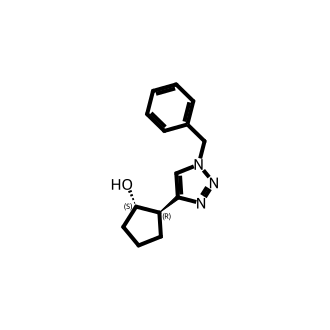 O[C@H]1CCC[C@@H]1c1cn(Cc2ccccc2)nn1